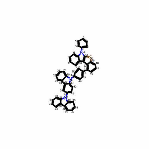 c1ccc(-n2c3ccccc3c3c4c(-c5ccc(-n6c7ccccc7c7cc(-n8c9ccccc9c9ccccc98)ccc76)cc5)cccc4sc32)cc1